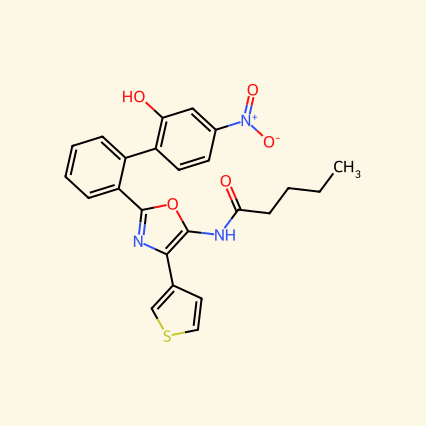 CCCCC(=O)Nc1oc(-c2ccccc2-c2ccc([N+](=O)[O-])cc2O)nc1-c1ccsc1